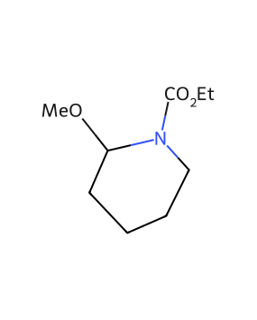 CCOC(=O)N1CCCCC1OC